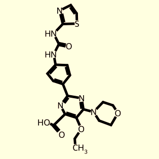 CCOc1c(C(=O)O)nc(-c2ccc(NC(=O)Nc3nccs3)cc2)nc1N1CCOCC1